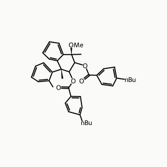 CCCCc1ccc(C(=O)OC2C(OC(=O)c3ccc(CCCC)cc3)[C@](C)(OC)c3ccccc3[C@@]2(C)c2ccccc2C)cc1